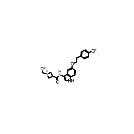 O=C(Nc1c[nH]c2ccc(OCCc3ccc(C(F)(F)F)cc3)cc12)C1CN(CC(F)(F)F)C1